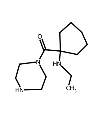 CCNC1(C(=O)N2CCNCC2)CCCCC1